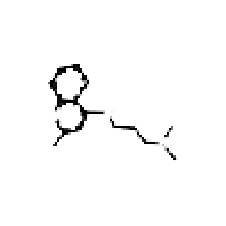 Cc1cc(NCCCN(C)C)c2ccccc2n1